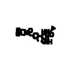 Cc1cc(CC(=O)N2CCS(=O)(=O)CC2)ccc1-c1cc(NC(=O)C2CC2)nc2[nH]ccc12